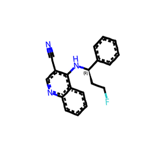 N#Cc1cnc2ccccc2c1N[C@H](CCF)c1ccccc1